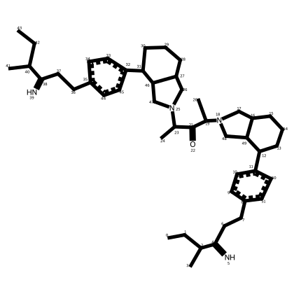 CCC(C)C(=N)CCc1ccc(C2CCCC3CN(C(C)C(=O)C(C)N4CC5CCCC(c6ccc(CCC(=N)C(C)CC)cc6)C5C4)CC32)cc1